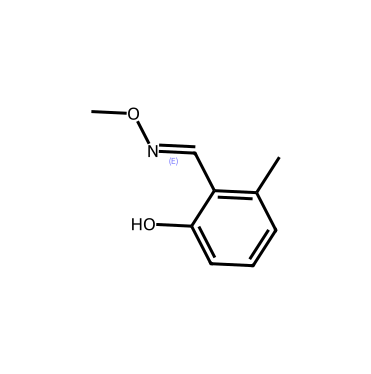 CO/N=C/c1c(C)cccc1O